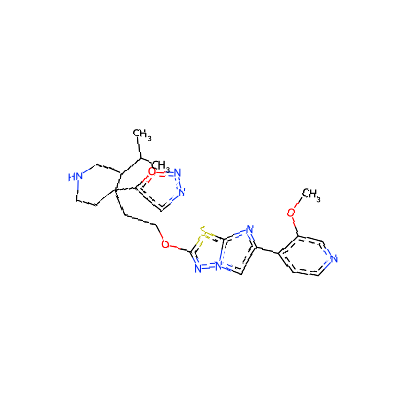 COc1cnccc1-c1cn2nc(OCCC3(c4cnno4)CCNCC3C(C)C)sc2n1